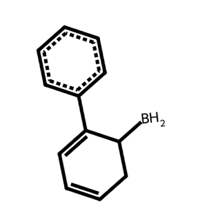 BC1CC=CC=C1c1ccccc1